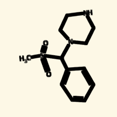 CS(=O)(=O)[C](c1ccccc1)N1CCNCC1